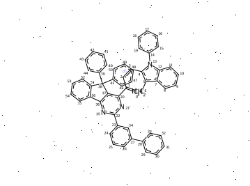 C=C(/C=C\c1c(C)c2ccccc2n1-c1ccccc1)c1nc(-c2cccc(-c3ccccc3)c2)nc2c1C(c1ccccc1)(c1ccccc1)c1ccccc1-2